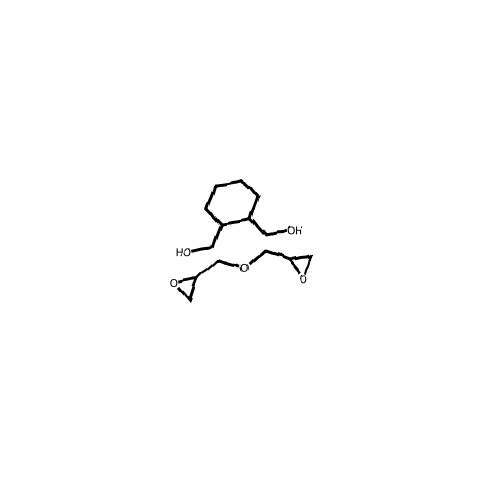 C(OCC1CO1)C1CO1.OCC1CCCCC1CO